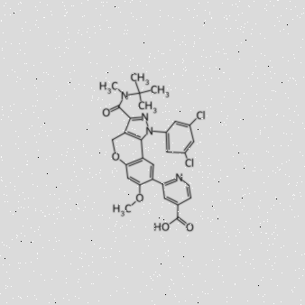 COc1cc2c(cc1-c1cc(C(=O)O)ccn1)-c1c(c(C(=O)N(C)C(C)(C)C)nn1-c1cc(Cl)cc(Cl)c1)CO2